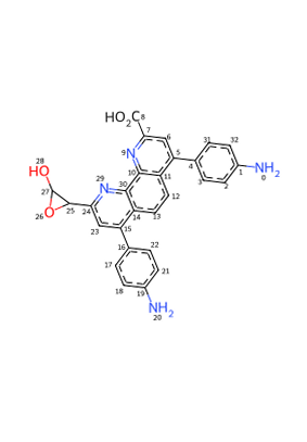 Nc1ccc(-c2cc(C(=O)O)nc3c2ccc2c(-c4ccc(N)cc4)cc(C4OC4O)nc23)cc1